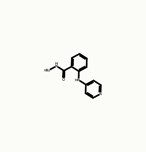 CCCCNC(=O)c1ccccc1Nc1ccncc1